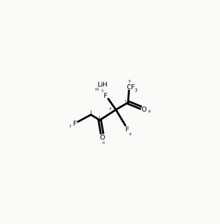 O=C(CF)C(F)(F)C(=O)C(F)(F)F.[LiH]